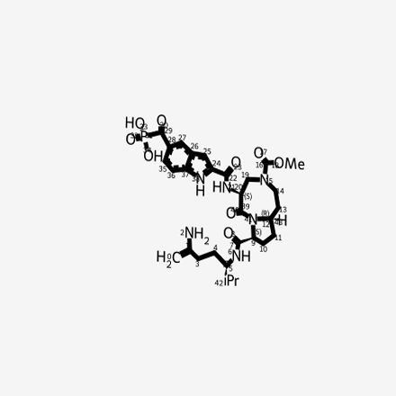 C=C(N)CC[C@H](NC(=O)[C@@H]1CC[C@@H]2CCN(C(=O)OC)C[C@H](NC(=O)c3cc4cc(C(=O)P(=O)(O)O)ccc4[nH]3)C(=O)N21)C(C)C